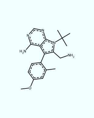 COc1ccc(-c2c(CN)n(C(C)(C)C)c3ncnc(N)c23)c(C)c1